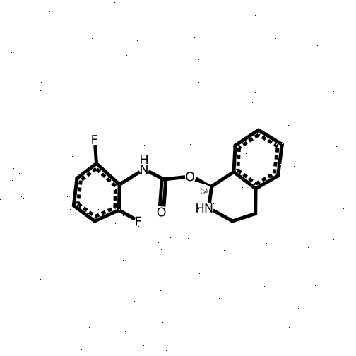 O=C(Nc1c(F)cccc1F)O[C@@H]1NCCc2ccccc21